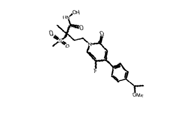 COC(C)c1ccc(-c2cc(=O)n(CCC(C)(C(=O)NO)S(C)(=O)=O)cc2F)cc1